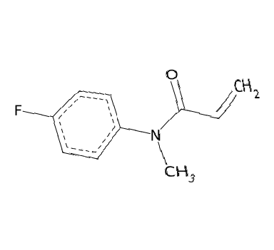 C=CC(=O)N(C)c1ccc(F)cc1